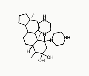 CC1[C@@H]2CCC3C4CCC[C@@]4(C)CCC3[C@@]2(C)C(N2CCNCC2)(N2CCNCC2)CC1(O)O